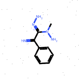 CN(N)/C(=N\N)C(=N)c1ccccc1